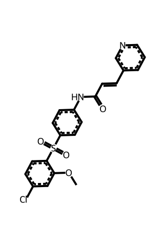 COc1cc(Cl)ccc1S(=O)(=O)c1ccc(NC(=O)C=Cc2cccnc2)cc1